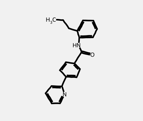 CCCc1ccccc1NC(=O)c1ccc(-c2ccccn2)cc1